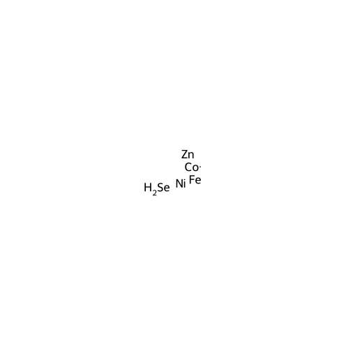 [Co].[Fe].[Ni].[SeH2].[Zn]